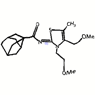 COCCn1c(COC)c(C)s/c1=N\C(=O)C12CC3CC(CC1C3)C2